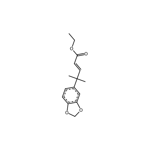 CCOC(=O)C=CC(C)(C)c1ccc2c(c1)OCO2